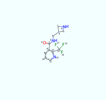 O=C(NCC1CNC1)c1cccnc1C(F)(F)F